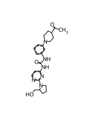 CC(=O)C1CCN(c2cccc(NC(=O)Nc3ccnc(N4CCCC4CO)n3)c2)CC1